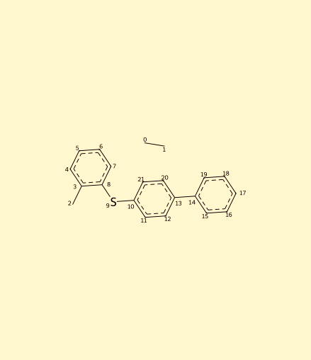 CC.Cc1ccccc1Sc1ccc(-c2ccccc2)cc1